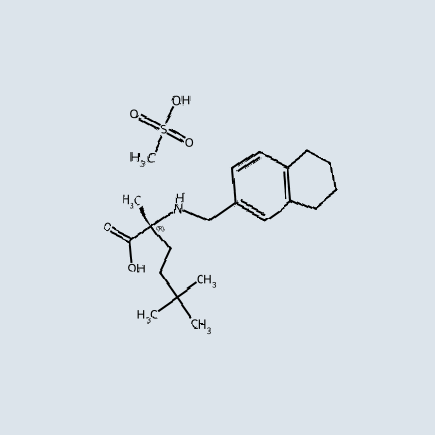 CC(C)(C)CC[C@@](C)(NCc1ccc2c(c1)CCCC2)C(=O)O.CS(=O)(=O)O